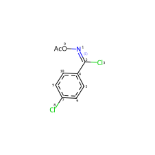 CC(=O)O/N=C(/Cl)c1ccc(Cl)cc1